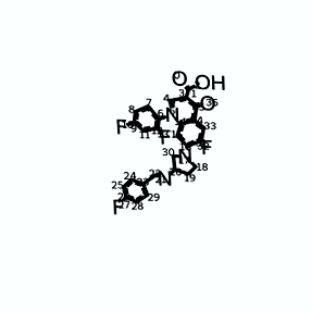 O=C(O)c1cn(-c2ccc(F)cc2F)c2cc(N3CCC(N=Cc4ccc(F)cc4)C3)c(F)cc2c1=O